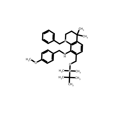 COc1ccc(CNc2c(CO[Si](C)(C)C(C)(C)C)ccc3c2N(Cc2ccccc2)CCC3(C)C)cc1